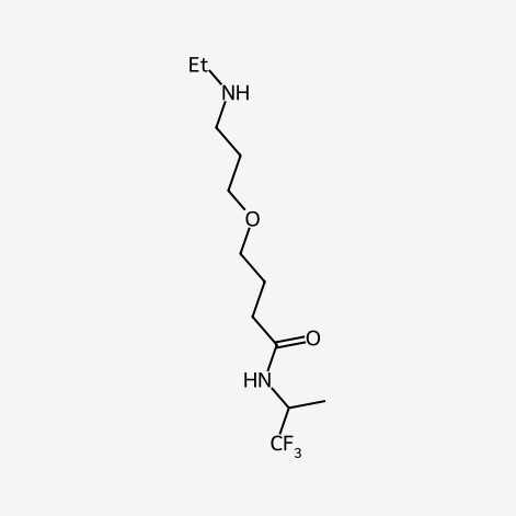 CCNCCCOCCCC(=O)NC(C)C(F)(F)F